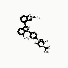 CC(=O)N1C[C@H]2C[C@@H]1CN2c1ccc(-n2nc(-c3cccc4nn(C)cc34)c3cccc(C)c32)cn1